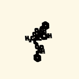 CC(CCOC(=O)NCc1ccccc1)CC(=O)N(C(=O)NCc1ccccc1)C1(C#N)CCNCC1